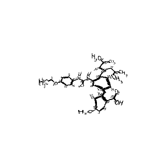 CCOc1ccc(NC(=O)Nc2cc(-c3cc(C)ccc3C(=O)O)ccc2N(CC(C)C)CC(C)C)cc1